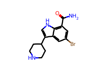 NC(=O)c1cc(Br)cc2c(C3CCNCC3)c[nH]c12